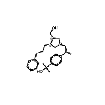 CC(CN1C[C@@H](CCCc2ccccc2)[C@@H](CO)C1)c1ccc(C(C)(C)O)cc1